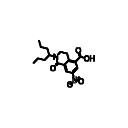 CCCC(CCC)N1CCc2c(C(=O)O)cc([N+](=O)[O-])cc2C1=O